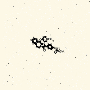 CN1CCC(OC2c3ccccc3CCn3c2nc(-c2ccc(NC(=O)O)cc2)c3Cl)CC1